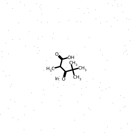 CC(C(=O)O)C(=O)C(C)(C)C.[In]